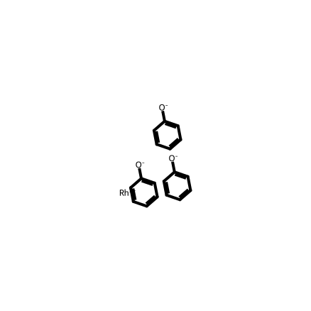 [O-]c1ccccc1.[O-]c1ccccc1.[O-]c1ccccc1.[Rh+3]